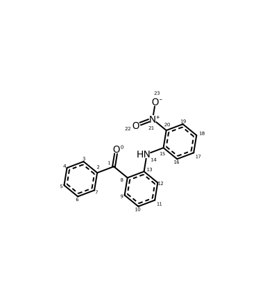 O=C(c1ccccc1)c1ccccc1Nc1ccccc1[N+](=O)[O-]